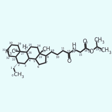 CC[C@H]1CC2C3CCC(CCCC(=O)NCC(=O)OC(C)C)C3(C)CC[C@@H]2C2(C)CCCCC12